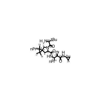 CCCC(NC(=O)C1CC2(CN1C(=O)C(N)C(C)(C)C)C(C)(C)C2(C)CCC)C(=O)C(=O)NC1CC1